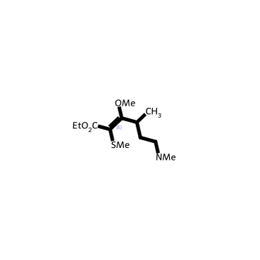 CCOC(=O)/C(SC)=C(\OC)C(C)CCNC